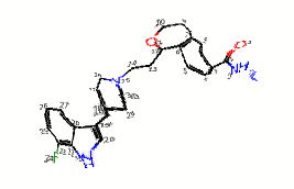 NC(=O)c1ccc2c(c1)CCOC2CCN1CC=C(c2c[nH]c3c(F)cccc23)CC1